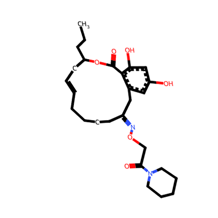 CCCC1C/C=C/CCCC/C(=N\OCC(=O)N2CCCCC2)Cc2cc(O)cc(O)c2C(=O)O1